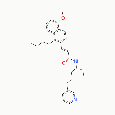 CCCCc1c(/C=C/C(=O)N[C@H](CC)CCCc2cccnc2)ccc2c(OC)cccc12